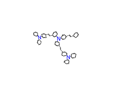 C(=Cc1ccc(N(c2cccc(C=Cc3ccc(N(c4ccccc4)c4ccccc4)cc3)c2)c2cccc(C=Cc3ccc(N(c4ccccc4)c4ccccc4)cc3)c2)cc1)c1ccccc1